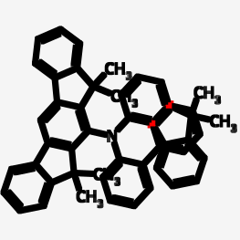 CC1(C)c2ccccc2-c2c(N(c3ccccc3-c3ccccc3)c3c4c(cc5c3C(C)(C)c3ccccc3-5)-c3ccccc3C4(C)C)cccc21